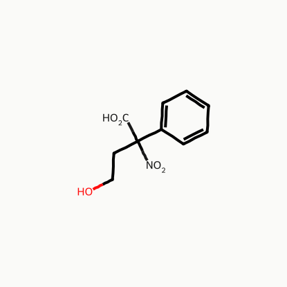 O=C(O)C(CCO)(c1ccccc1)[N+](=O)[O-]